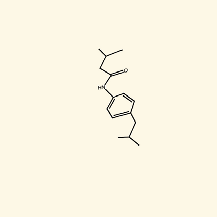 CC(C)CC(=O)Nc1ccc(CC(C)C)cc1